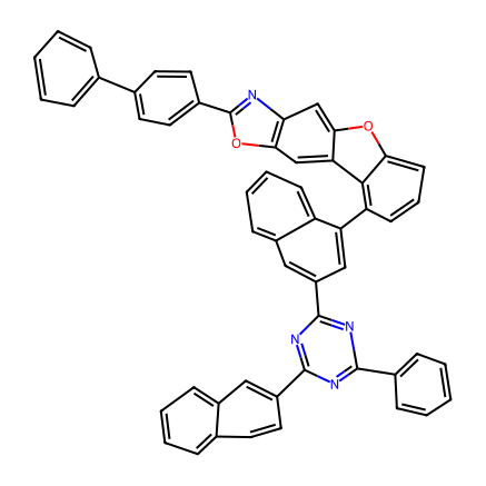 c1ccc(-c2ccc(-c3nc4cc5oc6cccc(-c7cc(-c8nc(-c9ccccc9)nc(-c9ccc%10ccccc%10c9)n8)cc8ccccc78)c6c5cc4o3)cc2)cc1